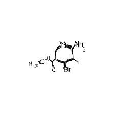 COC(=O)c1cnc(N)c(I)c1Br